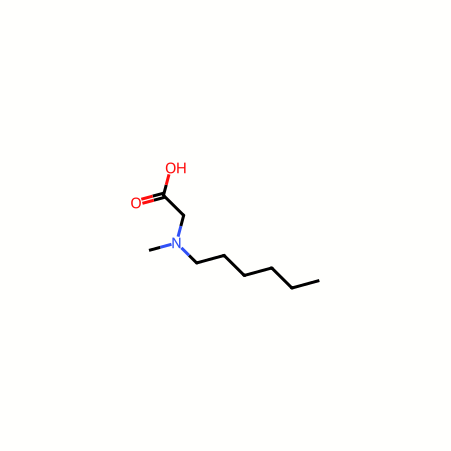 CCCCCCN(C)CC(=O)O